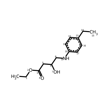 CCOC(=O)CC(O)CNc1ccc(CC)cc1